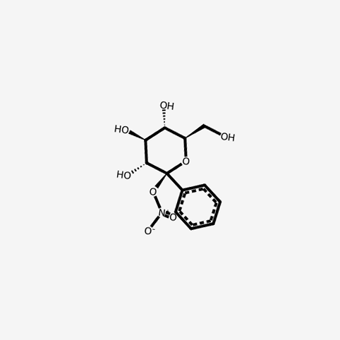 O=[N+]([O-])O[C@]1(c2ccccc2)O[C@H](CO)[C@@H](O)[C@H](O)[C@H]1O